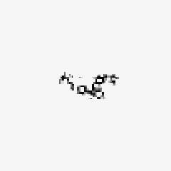 COC(=O)CCCOc1ccc(-c2sc3ccccc3c2Cc2ccc(CN3CCCC3)cc2)cc1